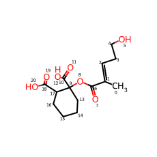 CC(=CCCO)C(=O)OC1(C(=O)O)CCCCC1C(=O)O